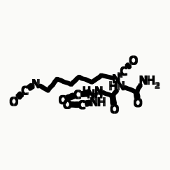 N=C=O.N=C=O.NC(=O)NC(N)=O.O=C=NCCCCCCN=C=O